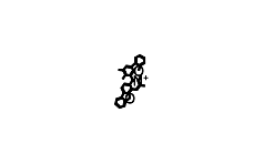 Cc1cc2c(oc3ccccc32)c(-c2c3ccc4c5ccccc5oc4c3cc(C)[n+]2C)c1C